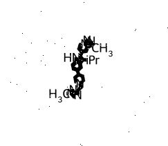 Cc1nnn2ccc(-c3[nH]c4ccc(C5CCN(Cc6ncn(C)n6)CC5)cc4c3C(C)C)cc12